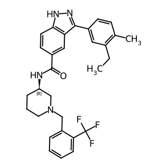 CCc1cc(-c2n[nH]c3ccc(C(=O)N[C@@H]4CCCN(Cc5ccccc5C(F)(F)F)C4)cc23)ccc1C